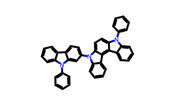 c1ccc(-n2c3ccccc3c3ccc(-n4c5ccccc5c5c6c7ccccc7n(-c7ccccc7)c6ccc54)cc32)cc1